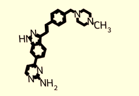 CN1CCN(Cc2ccc(/C=C/c3n[nH]c4cc(-c5ccnc(N)n5)ccc34)cc2)CC1